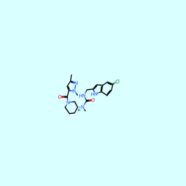 Cc1cc(C(=O)N2CCC[C@@H](N(C)C(=O)NCc3cc4cc(Cl)ccc4[nH]3)C2)n(C)n1